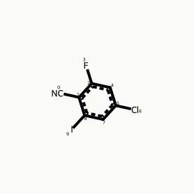 N#Cc1c(F)cc(Cl)cc1I